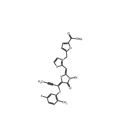 CC#C/C(Sc1cc(F)ccc1C)=c1\s/c(=C\c2scc[n+]2Cc2ccc(C(=O)OC)o2)n(CC)c1=O